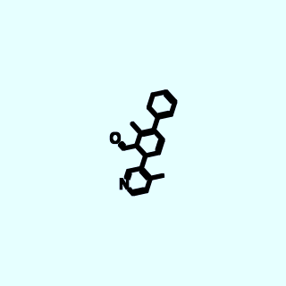 CC1=C(C2=CC=CCC2)C=CC(c2cnccc2C)C1C=O